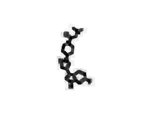 CN(C)CC(=O)N1CCC(n2cc(-c3c[nH]c4cc(F)ccc34)cn2)CC1